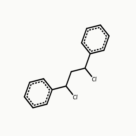 ClC(CC(Cl)c1ccccc1)c1ccccc1